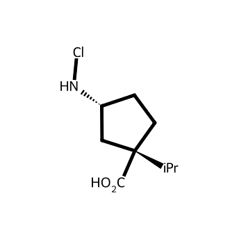 CC(C)[C@]1(C(=O)O)CC[C@@H](NCl)C1